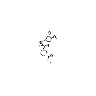 CCOC(=O)C1CCCN(C(=Nc2cc(OC)c(OC)cc2C#N)SC)C1